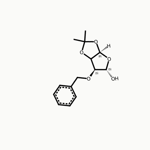 CC1(C)OC2[C@H](O[C@H](O)[C@H]2OCc2ccccc2)O1